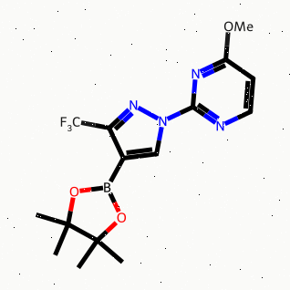 COc1ccnc(-n2cc(B3OC(C)(C)C(C)(C)O3)c(C(F)(F)F)n2)n1